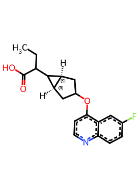 CCC(C(=O)O)C1[C@H]2CC(Oc3ccnc4ccc(F)cc34)C[C@@H]12